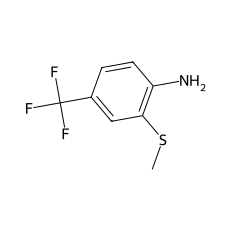 CSc1cc(C(F)(F)F)ccc1N